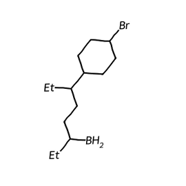 BC(CC)CCC(CC)C1CCC(Br)CC1